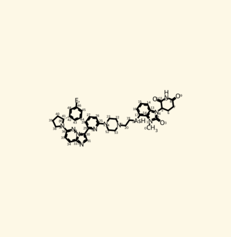 Cn1c(=O)n(C2CCC(=O)NC2=O)c2cccc([AsH]CCN3CCN(c4cccc(-c5cnc6ccc(N7CCC[C@@H]7c7cccc(F)c7)nn56)n4)CC3)c21